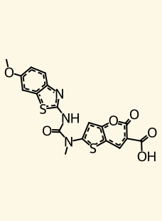 COc1ccc2nc(NC(=O)N(C)c3cc4oc(=O)c(C(=O)O)cc4s3)sc2c1